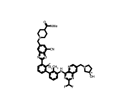 CNC(=O)C1CCN(Cc2cc(C#N)c3oc(-c4cccc(-c5cccc(Nc6nc(C(F)F)nc7cc(CN8CC[C@@H](O)C8)cnc67)c5C)c4C)nc3c2)CC1